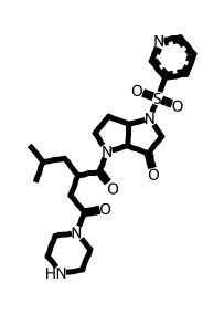 CC(C)CC(CC(=O)N1CCNCC1)C(=O)N1CCC2C1C(=O)CN2S(=O)(=O)c1cccnc1